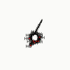 CCCCCCCCCCCCCCCC(=O)NC1CC(O)C(O)NC(=O)C2C(O)C(C)CN2C(=O)C(C(C)O)NC(=O)C(C(O)C(O)c2ccc(O)cc2)NC(=O)C2CC(O)CN2C(=O)C(C(C)O)NC1=O